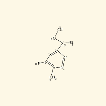 CC[C@@H](OC#N)c1ccc(C)c(F)c1